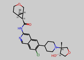 C[C@@]1(N2CCC(c3cc4cc(NC(=O)[C@@H]5[C@@H]6COCC[C@@H]65)ncc4cc3Cl)CC2)COC[C@@H]1O